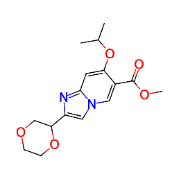 COC(=O)c1cn2cc(C3COCCO3)nc2cc1OC(C)C